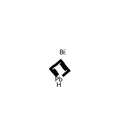 C1=[CH][PbH]=[CH]1.[Bi]